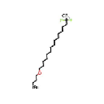 CC(C)(C)CCCOCCCCCCCCCCCCCCC(F)(F)C(F)(F)F